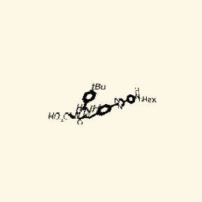 CCCCCCNc1ccc(-c2cnc(-c3ccc(C[C@H](NC(=O)c4ccc(C(C)(C)C)cc4)C(=O)NCCC(=O)O)cc3)nc2)cc1